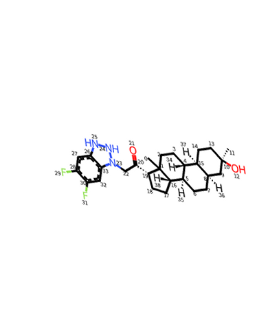 CC12CC[C@H]3[C@@H](CC[C@@H]4C[C@](C)(O)CC[C@@H]43)[C@@H]1CC[C@@H]2C(=O)CN1NNc2cc(F)c(F)cc21